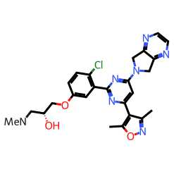 CNC[C@@H](O)COc1ccc(Cl)c(-c2nc(-c3c(C)noc3C)cc(N3Cc4nccnc4C3)n2)c1